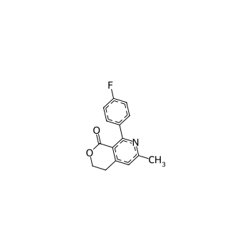 Cc1cc2c(c(-c3ccc(F)cc3)n1)C(=O)OCC2